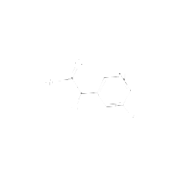 O=C(O)C(O)c1cncc(Br)c1